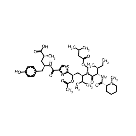 CC[C@H](C)[C@H](NC(=O)[C@H]1CCCCN1C)C(=O)N(COC(=O)CC(C)C)[C@H](C[C@@H](OC(C)=O)c1nc(C(=O)N[C@@H](Cc2ccc(O)cc2)C[C@H](C)C(=O)O)cs1)C(C)C